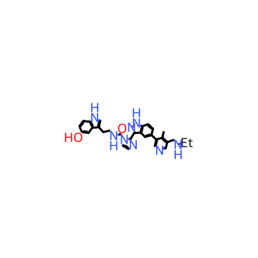 CCNCc1cncc(-c2ccc3[nH]nc(-c4nccn4C(=O)NCCc4c[nH]c5ccc(O)cc45)c3c2)c1C